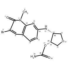 Cn1c(=O)c(Br)cc2cnc(N[C@@H]3COC[C@@H]3OC(N)=O)nc21